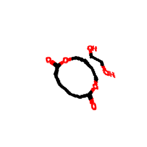 O=C1CCCCC(=O)OCCCCO1.OCCO